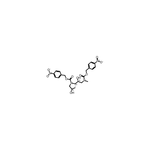 CN(C[C@H](O)[C@@H]1C[C@@H](O)CN1C(=O)OCc1ccc([N+](=O)[O-])cc1)C(=O)OCc1ccc([N+](=O)[O-])cc1